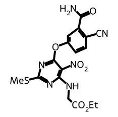 CCOC(=O)CNc1nc(SC)nc(Oc2ccc(C#N)c(C(N)=O)c2)c1[N+](=O)[O-]